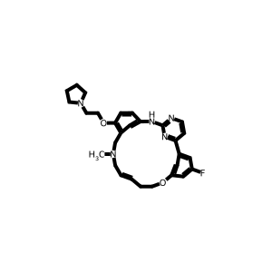 CN1C/C=C/CCOc2cc(F)cc(c2)-c2ccnc(n2)Nc2ccc(OCCN3CCCC3)c(c2)C1